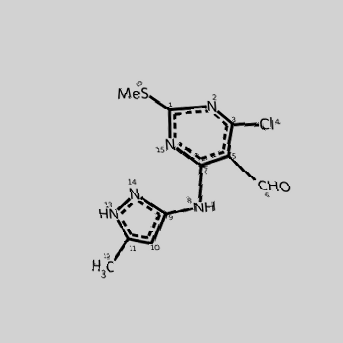 CSc1nc(Cl)c(C=O)c(Nc2cc(C)[nH]n2)n1